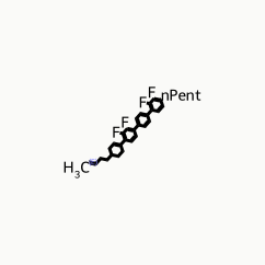 C/C=C/CCC1CC=C(c2ccc(-c3ccc(-c4ccc(CCCCC)c(F)c4F)cc3)c(F)c2F)CC1